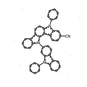 N#Cc1ccc2c3c(ccc4c5ccccc5n(-c5ccc6c7ccccc7n(-c7ccccc7)c6c5)c43)n(-c3ccccc3)c2c1